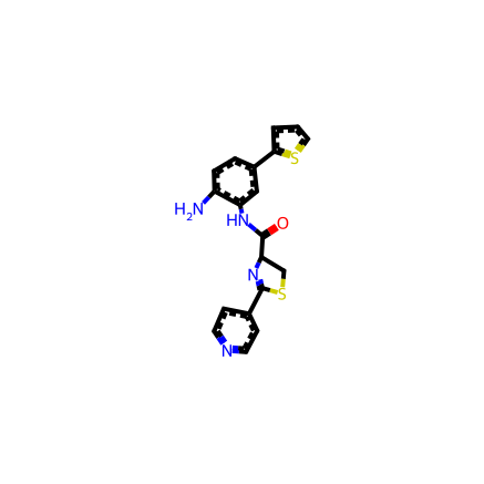 Nc1ccc(-c2cccs2)cc1NC(=O)C1CSC(c2ccncc2)=N1